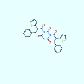 O=C1CC(=O)N(C(=O)C(Cc2ccccc2)c2cccs2)C(=O)N1C(=O)C(Cc1ccccc1)c1cccs1